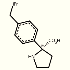 CC(C)Cc1ccc([C@@]2(C(=O)O)CCCN2)cc1